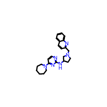 c1ccc2nc(CN3CCC(Nc4nccc(N5CCCCCC5)n4)C3)ccc2c1